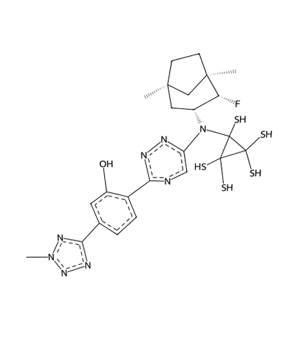 Cn1nnc(-c2ccc(-c3ncc(N([C@@H]4C[C@@]5(C)CC[C@](C)(C5)[C@@H]4F)C4(S)C(S)(S)C4(S)S)nn3)c(O)c2)n1